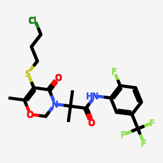 CC1=C(SCCCCl)C(=O)N(C(C)(C)C(=O)Nc2cc(C(F)(F)F)ccc2F)CO1